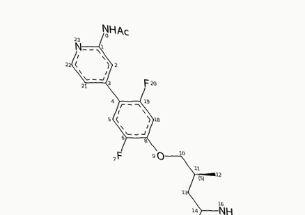 CC(=O)Nc1cc(-c2cc(F)c(OC[C@@H](C)CC(C)NC(=O)O)cc2F)ccn1